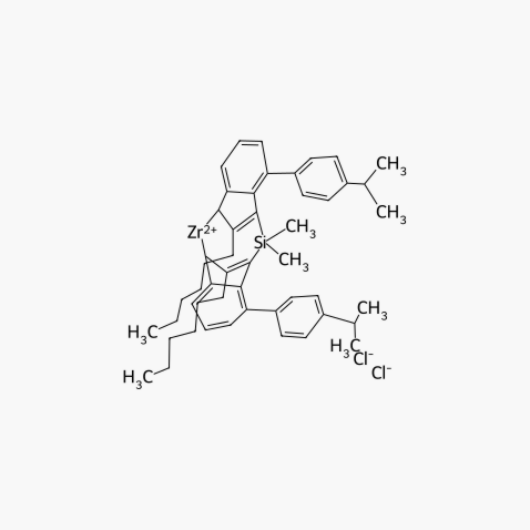 CCCCCCC1=C2c3c(-c4ccc(C(C)C)cc4)cccc3[CH]1[Zr+2][CH]1C(CCCCCC)=C(c3c(-c4ccc(C(C)C)cc4)cccc31)[Si]2(C)C.[Cl-].[Cl-]